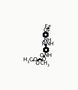 CCOC(=O)CC(C)OC(=O)Nc1ccc(C(=N)/N=C\Nc2ccc(OC(F)(F)F)cc2)cc1